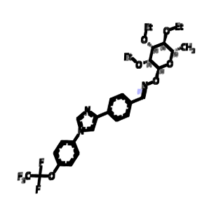 CCO[C@@H]1[C@@H](OCC)[C@H](C)O[C@@H](O/N=C/c2ccc(-c3cn(-c4ccc(OC(F)(F)C(F)(F)F)cc4)cn3)cc2)[C@@H]1OCC